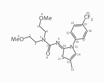 COCCN(CCOC)C(=O)/N=c1\sc(C)cn1-c1ccc(C(F)(F)F)cc1